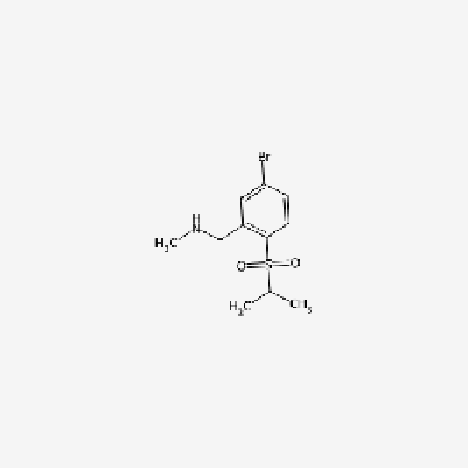 CNCc1cc(Br)ccc1S(=O)(=O)C(C)C